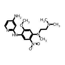 COc1cc(N(C)CCN(C)C)c([N+](=O)[O-])cc1Nc1cc(N)ccn1